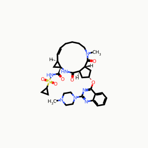 CN1CCN(c2nc(O[C@@H]3C[C@H]4C(=O)N[C@]5(C(=O)NS(=O)(=O)C6CC6)C[C@H]5/C=C\CCCCN(C)C(=O)[C@@H]4C3)c3ccccc3n2)CC1